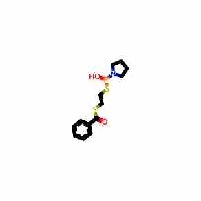 O=C(SCCSP(O)N1CCCC1)c1ccccc1